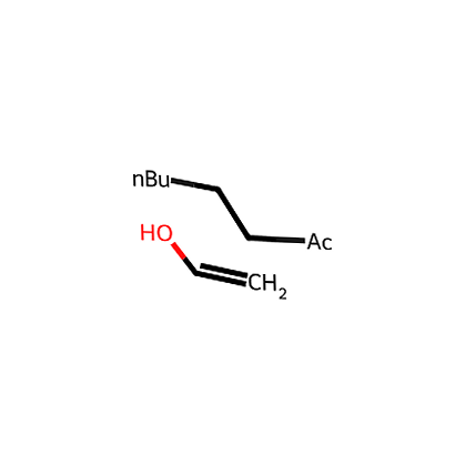 C=CO.CCCCCCC(C)=O